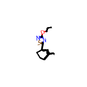 CCCOc1nsc(C2CCCC(C)C2)n1